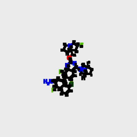 C[C@@]12CC[C@H](CN(c3nc(OC[C@@]45CCCN4C[C@H](F)C5)nc4c(F)c(-c5cc(N)c(F)c6cccc(Cl)c56)c(F)cc34)C1)N2